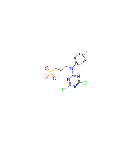 Cc1ccc(N(CCCS(=O)(=O)O)c2nc(Cl)nc(Cl)n2)cc1